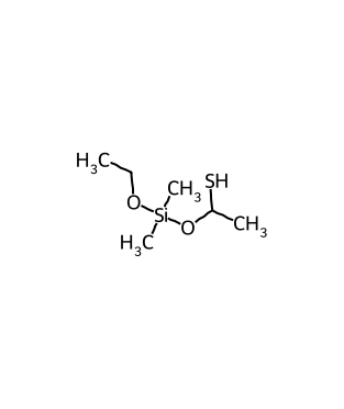 CCO[Si](C)(C)OC(C)S